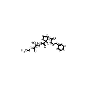 CCOC(=O)[C@@H](O)CNC(=O)C1(C[C@@H](CCc2ccccc2)C(=O)O)CCCC1